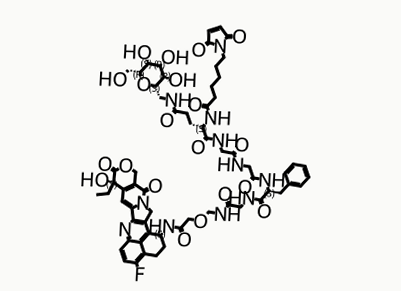 CC[C@@]1(O)C(=O)OCc2c1cc1n(c2=O)Cc2c-1nc1ccc(F)c3c1c2[C@@H](NC(=O)COCNC(=O)CNC(=O)[C@H](Cc1ccccc1)NC(=O)CNC(=O)CNC(=O)[C@H](CCC(=O)NC[C@@H]1O[C@H](CO)[C@@H](O)[C@H](O)[C@H]1O)NC(=O)CCCCCN1C(=O)C=CC1=O)CC3